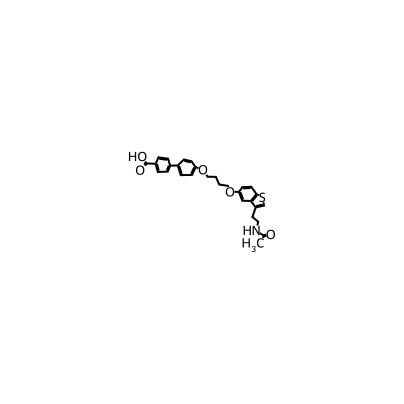 CC(=O)NCCc1csc2ccc(OCCCCOc3ccc(-c4ccc(C(=O)O)cc4)cc3)cc12